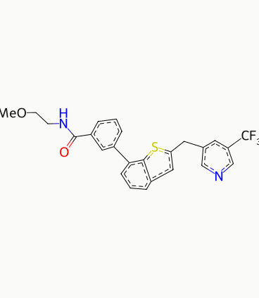 COCCNC(=O)c1cccc(-c2cccc3cc(Cc4cncc(C(F)(F)F)c4)sc23)c1